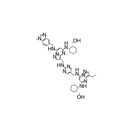 CCc1cnn2c(NCc3cnc(NCc4cnn5c(NCc6ccc7c(c6)ncn7C)cc(N[C@H]6CCCC[C@H]6CO)nc45)nc3)cc(N[C@H]3CCCC[C@H]3CO)nc12